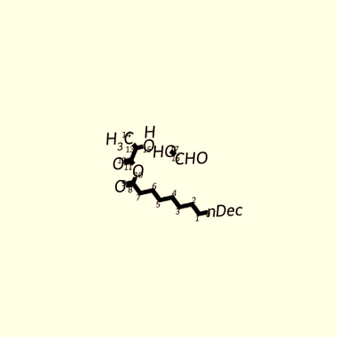 CCCCCCCCCCCCCCCCCC(=O)OC(=O)C(C)O.O=CO